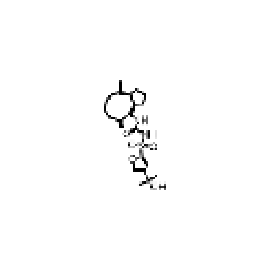 C=C1CCCC/C(C)=C2/CCC/C2=C/1NC(=O)NS(=O)(=O)c1cc(C(C)(C)O)co1